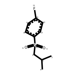 CC(C)CS(=O)(=O)c1ccc(F)cc1